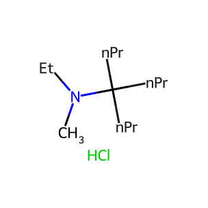 CCCC(CCC)(CCC)N(C)CC.Cl